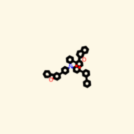 c1ccc(-c2cccc(-c3ccc(N(c4ccc(-c5ccc6oc7ccccc7c6c5)cc4)c4ccccc4-c4cccc5oc6c7ccccc7ccc6c45)cc3)c2)cc1